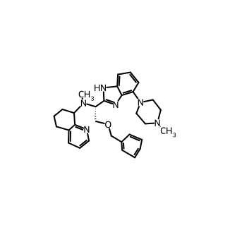 CN1CCN(c2cccc3[nH]c([C@H](COCc4ccccc4)N(C)C4CCCc5cccnc54)nc23)CC1